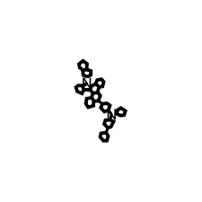 c1ccc(-c2ccc(N(c3ccccc3)c3ccc(-c4cc5c6ccccc6c6c(c7ccccc7n6-c6ccc7ccccc7c6)c5c5ccccc45)cc3)cc2)cc1